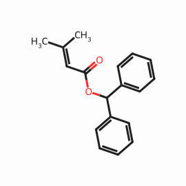 CC(C)=CC(=O)OC(c1ccccc1)c1ccccc1